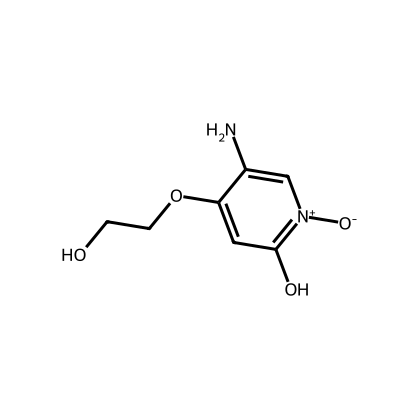 Nc1c[n+]([O-])c(O)cc1OCCO